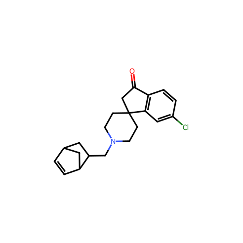 O=C1CC2(CCN(CC3CC4C=CC3C4)CC2)c2cc(Cl)ccc21